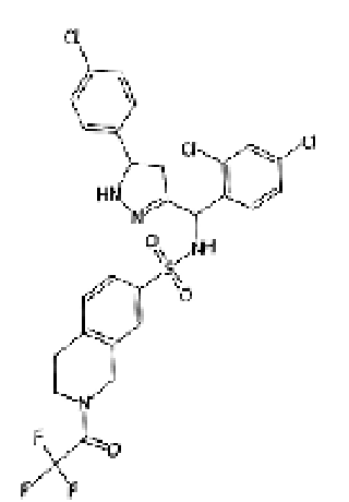 O=C(N1CCc2ccc(S(=O)(=O)NC(C3=NNC(c4ccc(Cl)cc4)C3)c3ccc(Cl)cc3Cl)cc2C1)C(F)(F)F